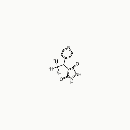 [2H]C([2H])([2H])C(c1ccncc1)n1c(=O)[nH][nH]c1=O